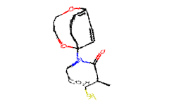 CC(CS)C(=O)N(CC(=O)O)C12C=CC(=CC1)OCCO2